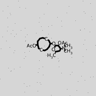 CC(=O)OC1CCCCCC(O[C@@H]2O[C@H](C)C[C@H](N(C)C)[C@H]2OC(C)=O)CCCCC1